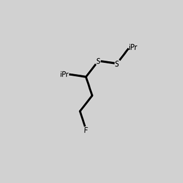 CC(C)SSC(CCF)C(C)C